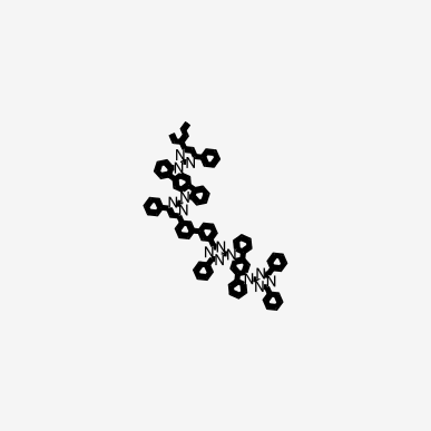 C=C/C=C(\C=C)c1cc(-c2ccccc2)nc(-n2c3ccccc3c3cc4c(cc32)c2ccccc2n4-c2nc(-c3ccccc3)cc(-c3cccc(-c4cccc(-c5nc(-c6ccccc6)nc(-n6c7ccccc7c7cc8c(cc76)c6ccccc6n8-c6nc(-c7ccccc7)nc(-c7ccccc7)n6)n5)c4)c3)n2)n1